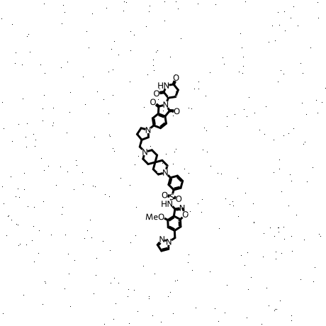 COc1cc(Cn2cccn2)cc2onc(NS(=O)(=O)c3cccc(N4CCC5(CCN(CC6CCN(c7ccc8c(c7)C(=O)N(C7CCC(=O)NC7=O)C8=O)C6)CC5)CC4)c3)c12